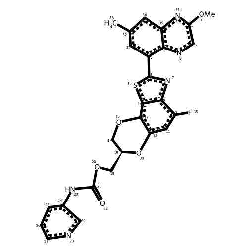 COc1cnc2c(-c3nc4c(F)cc5c(c4s3)OC[C@H](COC(=O)Nc3cccnc3)O5)cc(C)cc2n1